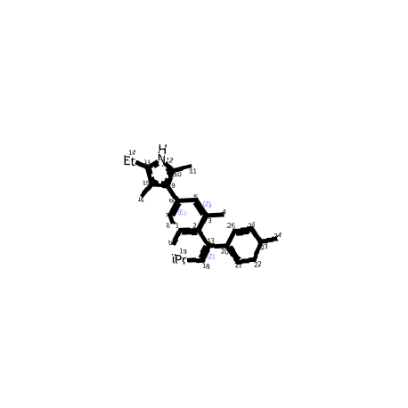 CC=C(/C(C)=C\C(=C/C)c1c(C)[nH]c(CC)c1C)/C(=C\C(C)C)C1=CCC(C)C=C1